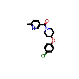 Cc1ccc(C(=O)N2CCC(Oc3ccc(Cl)cc3)CC2)cn1